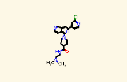 CN(C)CCNC(=O)C1CCN(c2nc(-c3ccnc(Cl)c3)cc3cnccc23)CC1